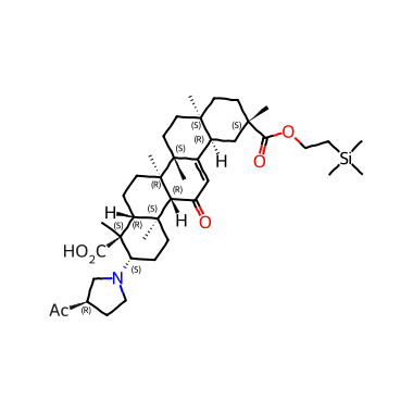 CC(=O)[C@@H]1CCN([C@H]2CC[C@@]3(C)[C@@H](CC[C@]4(C)[C@@H]3C(=O)C=C3[C@@H]5C[C@@](C)(C(=O)OCC[Si](C)(C)C)CC[C@]5(C)CC[C@]34C)[C@]2(C)C(=O)O)C1